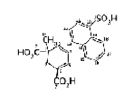 CC1(C(=O)O)C=CC=C(C(=O)O)C1.O=S(=O)(O)c1cccc2ccccc12